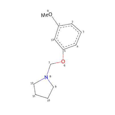 COc1cccc(OCN2CCCC2)c1